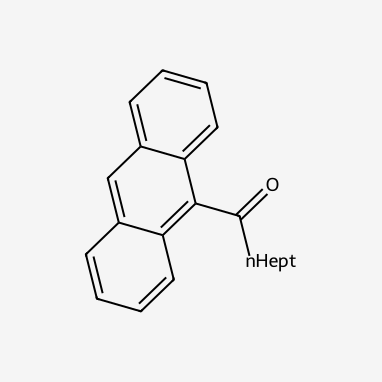 CCCCCCCC(=O)c1c2ccccc2cc2ccccc12